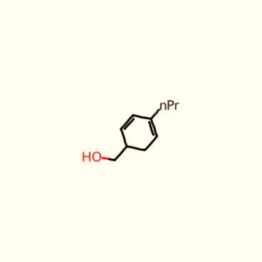 CCCC1=CCC(CO)C=C1